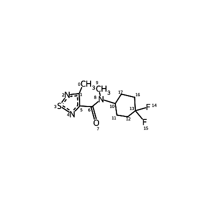 Cc1nsnc1C(=O)N(C)C1CCC(F)(F)CC1